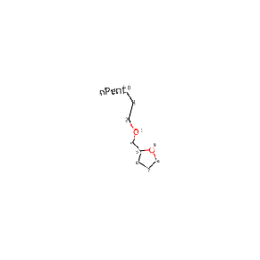 CCCCCCCOCC1CCCO1